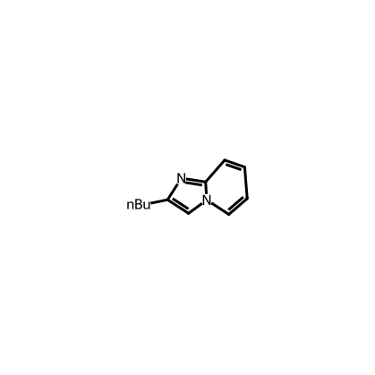 CCCCc1cn2ccccc2n1